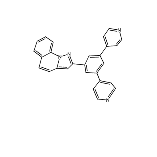 c1ccc2c(c1)ccc1cc(-c3cc(-c4ccncc4)cc(-c4ccncc4)c3)nn12